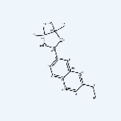 CCc1cnc2ccc(B3OC(C)(C)C(C)(C)O3)cc2c1